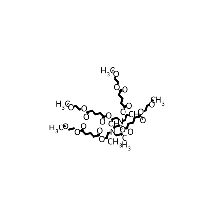 COCCOC(=O)CCCC(=O)OC(C)CN(CCN(CC(C)OC(=O)CCCC(=O)OCCOC)CC(C)OC(=O)CCCC(=O)OCCOC)CC(C)OC(=O)CCCC(=O)OCCOC